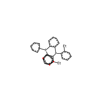 CCc1ccccc1P(c1ccccc1CC)c1ccccc1P(c1ccccc1)c1ccccc1